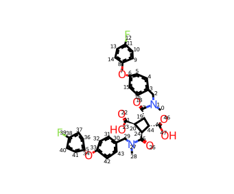 CN(Cc1ccc(Oc2ccc(F)cc2)cc1)C(=O)[C@H]1[C@H](C(=O)O)[C@H](C(=O)N(C)Cc2ccc(Oc3ccc(F)cc3)cc2)[C@H]1C(=O)O